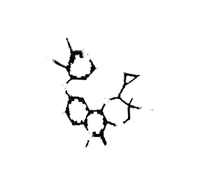 Cn1c(=O)c2c(c3cc(Nc4ccnc(F)c4Cl)ccc31)NC(C1CC1)C(F)(F)CO2